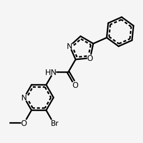 COc1ncc(NC(=O)c2ncc(-c3ccccc3)o2)cc1Br